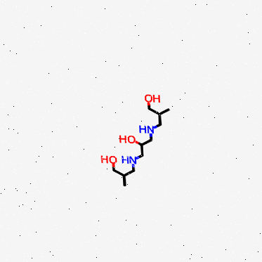 CC(CO)CNCC(O)CNCC(C)CO